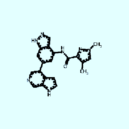 Cc1cn(C)nc1C(=O)Nc1cc(-c2cncc3[nH]ccc23)cc2[nH]ncc12